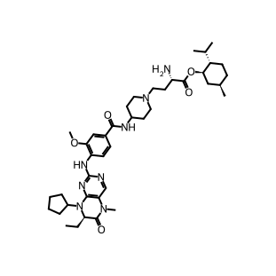 CC[C@@H]1C(=O)N(C)c2cnc(Nc3ccc(C(=O)NC4CCN(CC[C@H](N)C(=O)O[C@@H]5C[C@H](C)CC[C@H]5C(C)C)CC4)cc3OC)nc2N1C1CCCC1